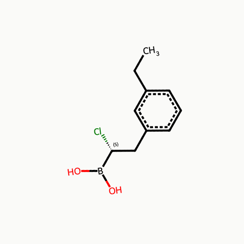 CCc1cccc(C[C@@H](Cl)B(O)O)c1